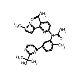 Cc1ccc(-c2ccnc(C(C)(C)O)n2)cc1N(C(N)=O)c1ccc(C(N)=O)c(-c2ccn(C)n2)n1